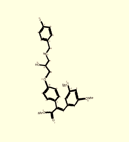 COC(=O)C(=Cc1cc(OC)cc(OC)c1)c1ccc(OCC(O)CNCc2ccc(F)cc2)cc1